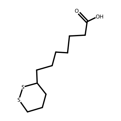 O=C(O)CCCCCCC1CCCSS1